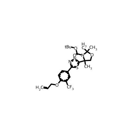 C=CCOc1ccc(-c2nnc(C3(C)COC(C)(C)N3C(=O)OC(C)(C)C)s2)cc1C(F)(F)F